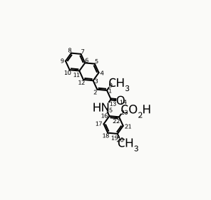 C/C(=C\c1ccc2ccccc2c1)C(=O)Nc1ccc(C)cc1C(=O)O